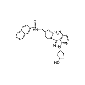 Nc1ncnc2c1c(-c1ccc(CNC(=O)c3ccc4ccccc4c3)cc1)nn2C1CCC(O)C1